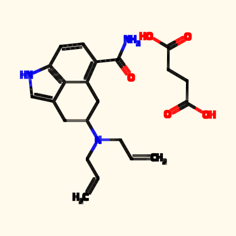 C=CCN(CC=C)C1Cc2c[nH]c3ccc(C(N)=O)c(c23)C1.O=C(O)CCC(=O)O